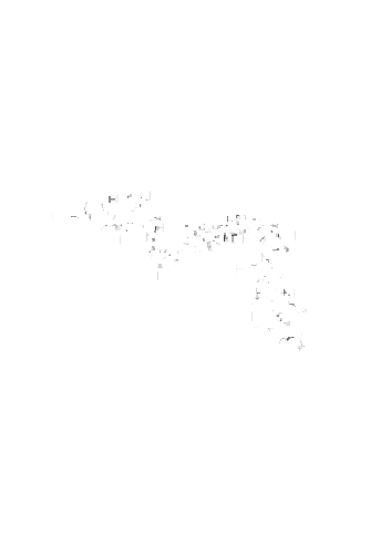 C=CC(=O)OC(C)OC(=O)NC1CC(C)(C)CC(C)(CNC(=O)OC2(C)OC2CCC(CC)(CC)[Si](C)(C)OC(CC)(CC)[Si](C)(C)CCC2OC2(C)OC(=O)NCC2(C)CC(NC(=O)OC(C)OC(=O)C=C)CC(C)(C)C2)C1